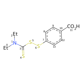 CCN(CC)C(=S)SSc1ccc(C(=O)O)cc1